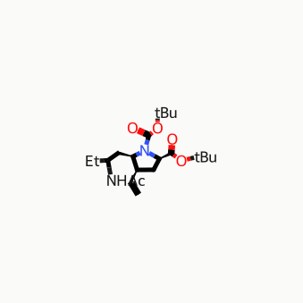 C=C[C@@H]1C[C@H](C(=O)OC(C)(C)C)N(C(=O)OC(C)(C)C)[C@@H]1CC(CC)NC(C)=O